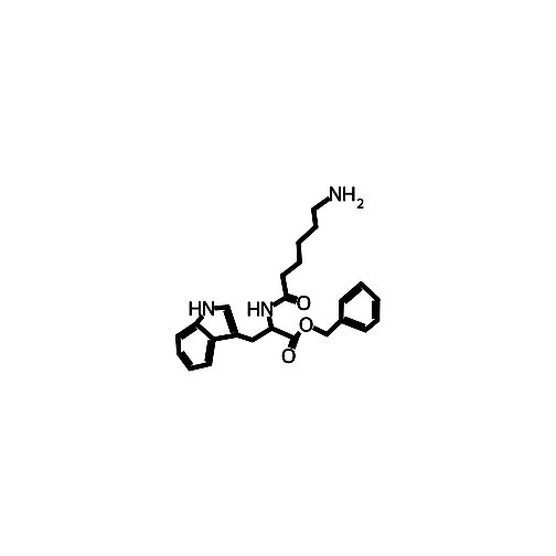 NCCCCCC(=O)NC(Cc1c[nH]c2ccccc12)C(=O)OCc1ccccc1